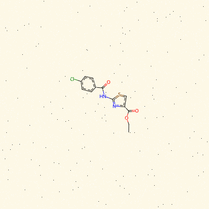 CCOC(=O)c1csc(NC(=O)c2ccc(Cl)cc2)n1